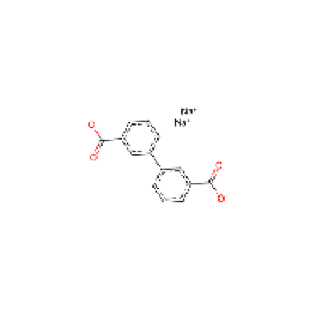 O=C([O-])c1cccc(-c2cccc(C(=O)[O-])c2)c1.[Na+].[Na+]